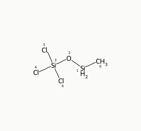 C[SiH2]O[Si](Cl)(Cl)Cl